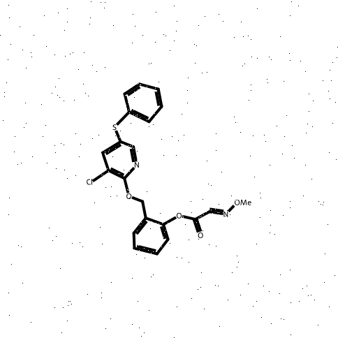 CON=CC(=O)Oc1ccccc1COc1ncc(Sc2ccccc2)cc1Cl